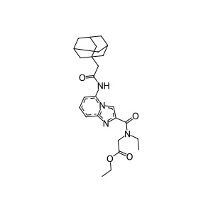 CCOC(=O)CN(CC)C(=O)c1cn2c(NC(=O)CC34CC5CC(CC(C5)C3)C4)cccc2n1